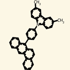 Cc1ccc2c(c1)c1cc(C)ccc1n2-c1ccc(-c2c3ccccc3cc3c2ccc2ccccc23)cc1